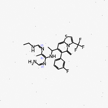 C=C1C(c2cccc(F)c2)=C(C(C)NC(/N=C\N)=C(C)\N=C/NCC)C=C2SC=C(C(F)(F)F)N12